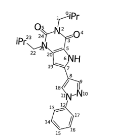 CC(C)Cn1c(=O)c2[nH]c(-c3cnn(-c4ccccc4)c3)cc2n(CC(C)C)c1=O